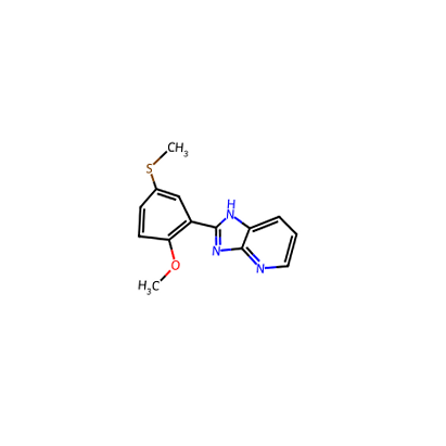 COc1ccc(SC)cc1-c1nc2ncccc2[nH]1